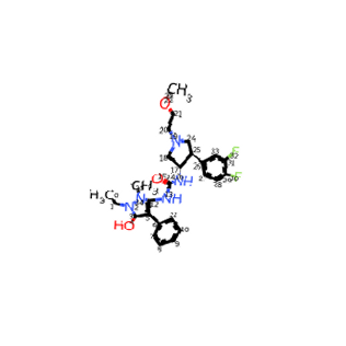 CCN1C(O)C(c2ccccc2)=C(NC(=O)N[C@@H]2CN(CCOC)C[C@H]2c2ccc(F)c(F)c2)N1C